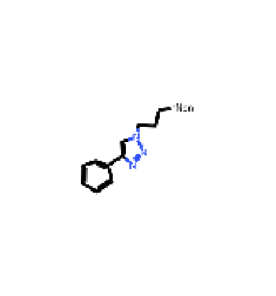 [CH2]CCCCCCCCCCCn1cc(-c2ccccc2)nn1